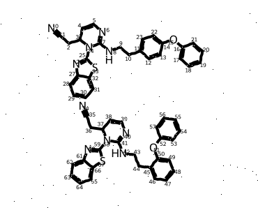 N#CCC1C=CN=C(NCCc2ccc(Oc3ccccc3)cc2)N1c1nc2ccccc2s1.N#CCC1C=CN=C(NCCc2ccccc2Oc2ccccc2)N1c1nc2ccccc2s1